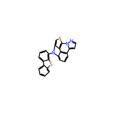 c1ccc2c(c1)sc1c(-n3c4cccc5c4c4c3csc4n3nccc53)cccc12